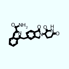 NC(=O)c1cc2ccccc2c(Cc2ccc3c(c2)CN(C2CCC(=O)NC2=O)C3=O)n1